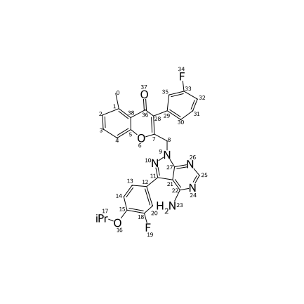 Cc1cccc2oc(Cn3nc(-c4ccc(OC(C)C)c(F)c4)c4c(N)ncnc43)c(-c3cccc(F)c3)c(=O)c12